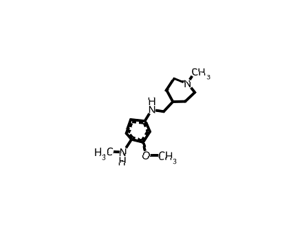 CNc1ccc(NCC2CCN(C)CC2)cc1OC